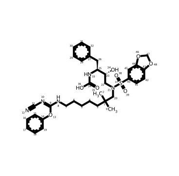 CC(C)(CCCCCN/C(=N/C#N)Oc1ccccc1)CN(C[C@@H](O)[C@H](Cc1ccccc1)NC(=O)O)S(=O)(=O)c1ccc2c(c1)OCO2